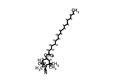 CCCCCCCCCCCCCCCCCC(=O)OC1CC(C)(C)N(C#N)C(C)(C)C1